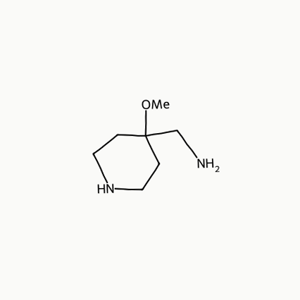 COC1(CN)CCNCC1